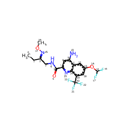 CCC(CNC(=O)c1cc(N)c2cc(OC(F)F)cc(C(F)(F)F)c2n1)=NOC